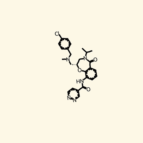 CC(C)N1C[C@@H](CN(C)Cc2ccc(Cl)cc2)Oc2c(NC(=O)c3ccnnc3)cccc2C1=O